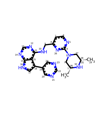 C[C@@H]1CN(c2nccc(CNc3ncnc4[nH]cc(-c5cncnc5)c34)n2)C[C@H](C)N1